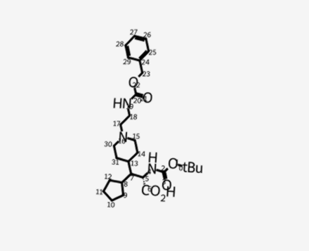 CC(C)(C)OC(=O)N[C@H](C(=O)O)C(C1CCCC1)C1CCN(CCNC(=O)OCc2ccccc2)CC1